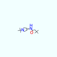 CC(C)(C)CC(=O)NC1C2CN(C(C)(C)C)CC21